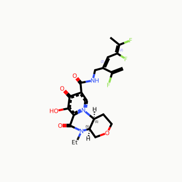 C=C(F)/C(=C\C(F)=C(/C)F)CNC(=O)c1cn2c(c(O)c1=O)C(=O)N(CC)[C@@H]1COCC[C@@H]12